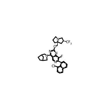 Fc1c(-c2cccc3cccc(Cl)c23)ncc2c(N3CC4CCC(C4)C3)nc(OC[C@@]34CCCN3C[C@@H](C(F)(F)F)C4)nc12